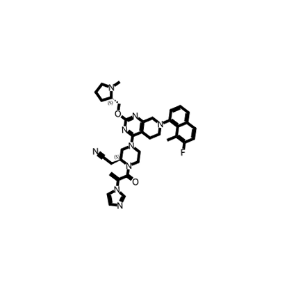 C=C(C(=O)N1CCN(c2nc(OC[C@@H]3CCCN3C)nc3c2CCN(c2cccc4ccc(F)c(C)c24)C3)C[C@@H]1CC#N)n1ccnc1